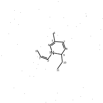 C/C=C\N1C=C(C)C=CC1CC